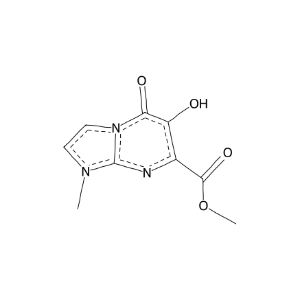 COC(=O)c1nc2n(C)ccn2c(=O)c1O